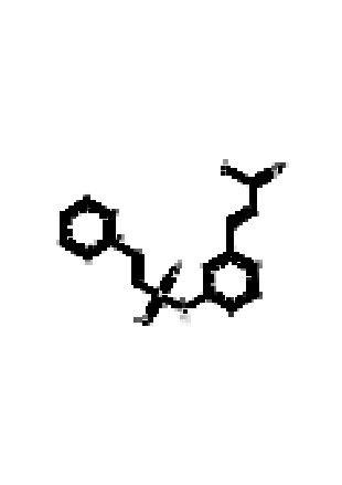 O=C(Cl)C=Cc1cccc(NS(=O)(=O)C=Cc2ccccc2)c1